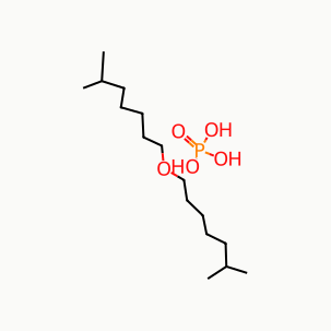 CC(C)CCCCCOCCCCCC(C)C.O=P(O)(O)O